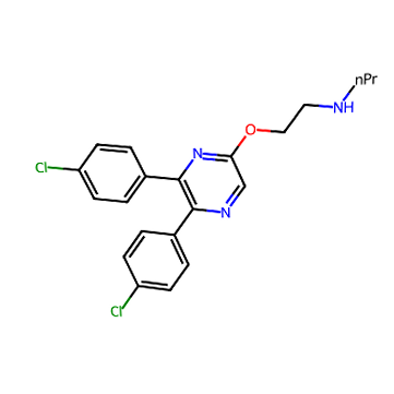 CCCNCCOc1cnc(-c2ccc(Cl)cc2)c(-c2ccc(Cl)cc2)n1